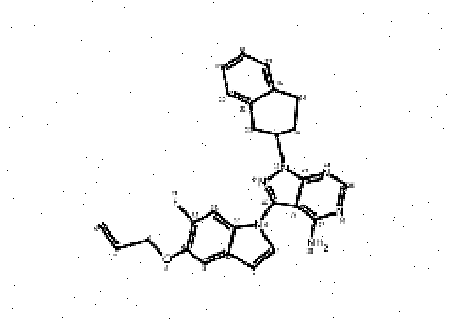 C=CCOc1cc2ccn(-c3nn(C4CCc5ccccc5C4)c4ncnc(N)c34)c2cc1F